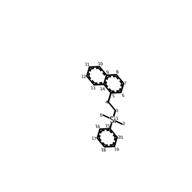 C[Si](C)(CCc1cccc2ccccc12)c1ccccc1